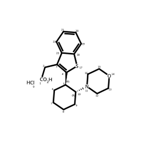 Cl.O=C(O)Cc1c([C@@H]2CCCC[C@H]2N2CCOCC2)sc2ccccc12